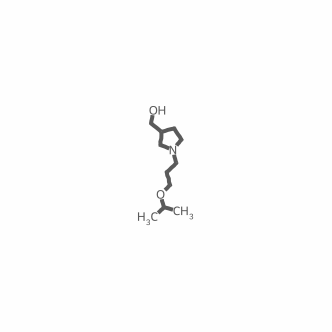 CC(C)OCCCN1CCC(CO)C1